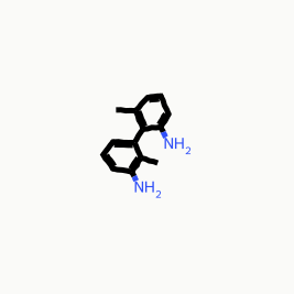 Cc1cccc(N)c1-c1cccc(N)c1C